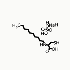 CCCCCCCCCCNC(CS)C(=O)O.O=S(=O)(O)O.[NaH]